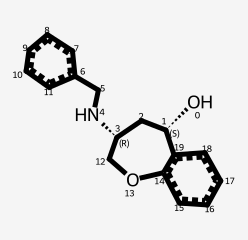 O[C@H]1C[C@@H](NCc2ccccc2)COc2ccccc21